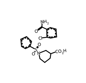 NC(=O)c1ccccc1Cl.O=C(O)C1CCCN(S(=O)(=O)c2ccccc2)C1